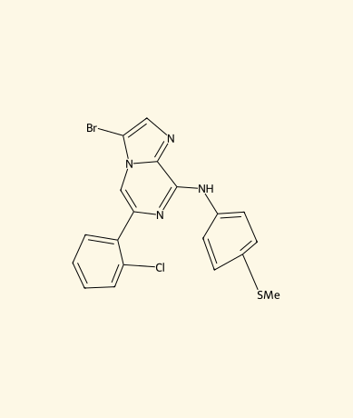 CSc1ccc(Nc2nc(-c3ccccc3Cl)cn3c(Br)cnc23)cc1